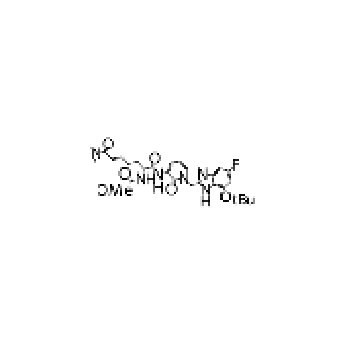 COC(=O)NC(CC/C=C/C(=O)N(C)C)C(=O)Nc1cccn(Cc2nc3cc(F)cc(OC(C)(C)C)c3[nH]2)c1=O